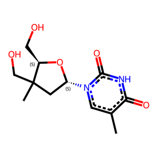 Cc1cn([C@@H]2CC(C)(CO)[C@@H](CO)O2)c(=O)[nH]c1=O